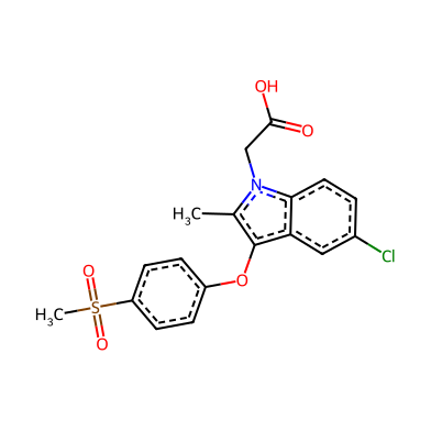 Cc1c(Oc2ccc(S(C)(=O)=O)cc2)c2cc(Cl)ccc2n1CC(=O)O